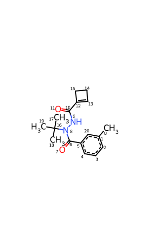 Cc1cccc(C(=O)N(NC(=O)C2=CCC2)C(C)(C)C)c1